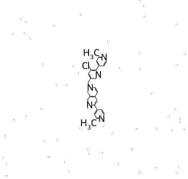 Cc1cc(-c2cc3c(cn2)CN(Cc2cnc(-c4ccnc(C)c4)c(Cl)c2)C=C3)ccn1